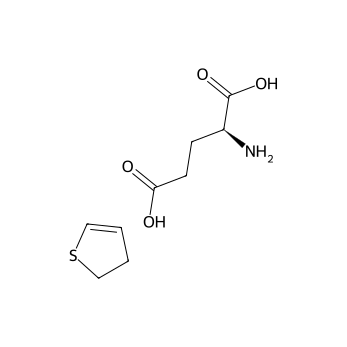 C1=CSCC1.N[C@@H](CCC(=O)O)C(=O)O